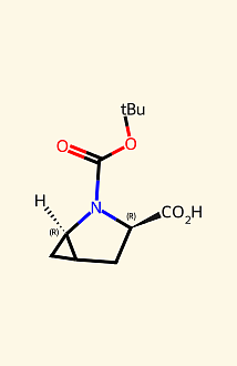 CC(C)(C)OC(=O)N1[C@@H](C(=O)O)CC2C[C@H]21